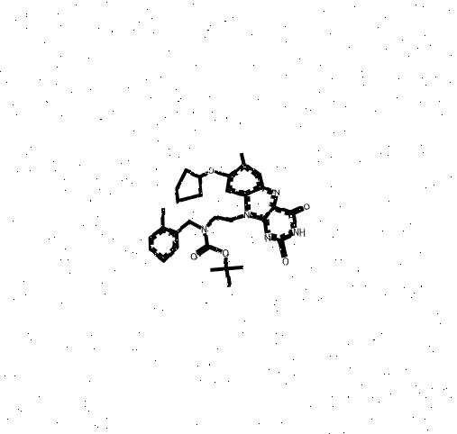 Cc1ccccc1CN(CCn1c2nc(=O)[nH]c(=O)c-2nc2cc(C)c(OC3CCCC3)cc21)C(=O)OC(C)(C)C